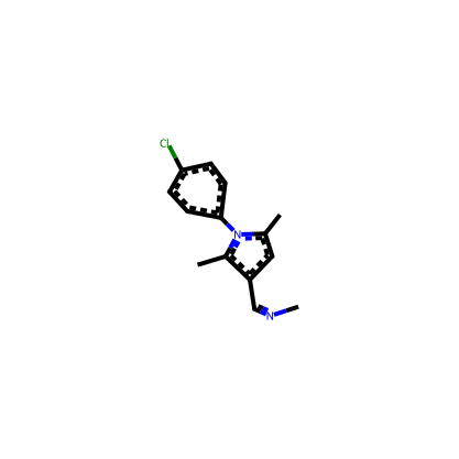 C/N=C\c1cc(C)n(-c2ccc(Cl)cc2)c1C